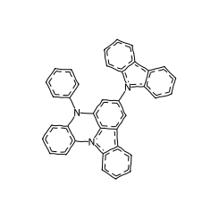 c1ccc(N2c3ccccc3-n3c4ccccc4c4cc(-n5c6ccccc6c6ccccc65)cc2c43)cc1